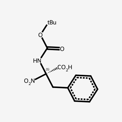 CC(C)(C)OC(=O)N[C@](Cc1ccccc1)(C(=O)O)[N+](=O)[O-]